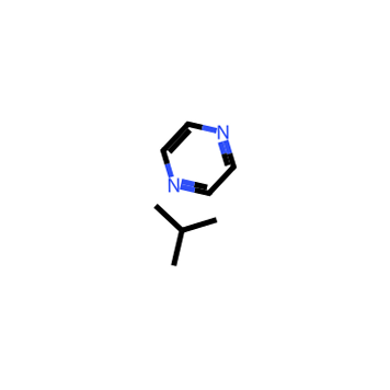 C[C](C)C.c1cnccn1